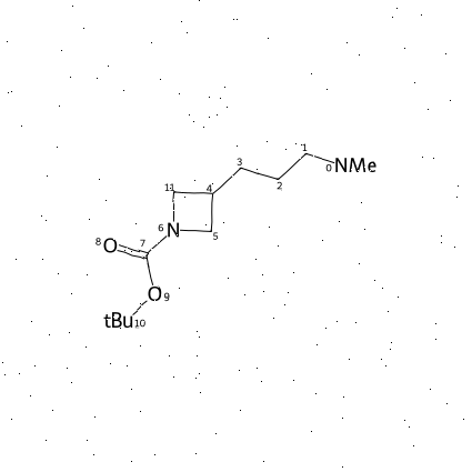 CNCCCC1CN(C(=O)OC(C)(C)C)C1